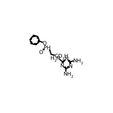 Nc1nc(N)nc(N)n1.O=C(O)CC[PH](=O)Oc1ccccc1